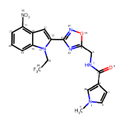 Cn1ccc(C(=O)NCc2nc(-c3cc4c([N+](=O)[O-])cccc4n3CC(F)(F)F)no2)c1